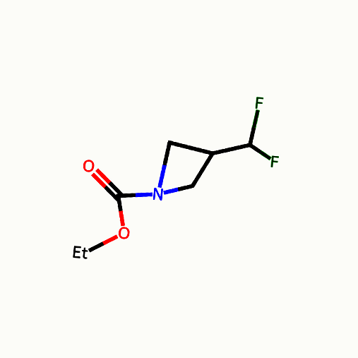 CCOC(=O)N1CC(C(F)F)C1